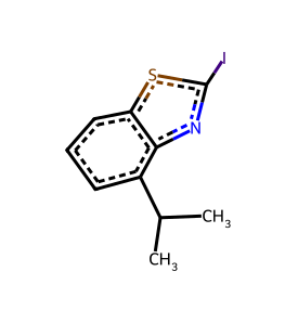 CC(C)c1cccc2sc(I)nc12